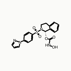 O=C(NO)O[C@H]1c2ccccc2CCN1S(=O)(=O)c1ccc(-n2cccn2)cc1